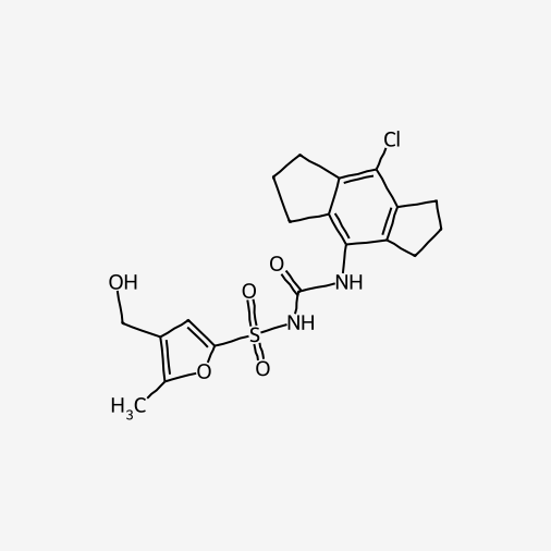 Cc1oc(S(=O)(=O)NC(=O)Nc2c3c(c(Cl)c4c2CCC4)CCC3)cc1CO